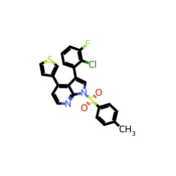 Cc1ccc(S(=O)(=O)n2cc(-c3cccc(F)c3Cl)c3c(-c4ccsc4)ccnc32)cc1